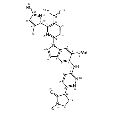 COc1cc2c(cc1Nc1ccc(C3CCN(C)C3=O)nn1)ncn2-c1ccc(C(F)F)c(-n2nc(C#N)cc2C)n1